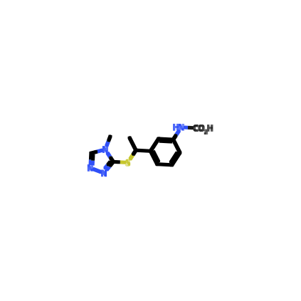 CC(Sc1nncn1C)c1cccc(NC(=O)O)c1